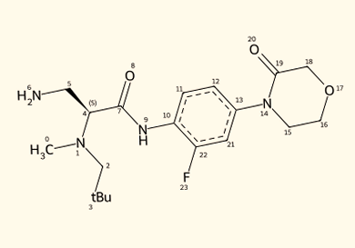 CN(CC(C)(C)C)[C@@H](CN)C(=O)Nc1ccc(N2CCOCC2=O)cc1F